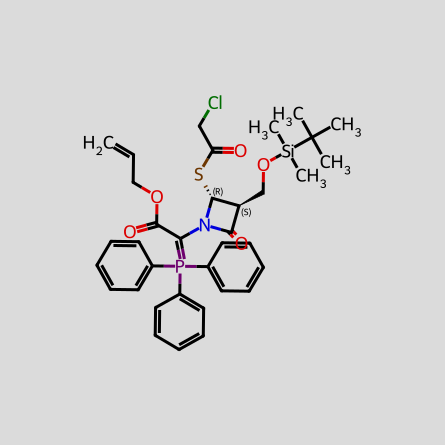 C=CCOC(=O)C(N1C(=O)[C@H](CO[Si](C)(C)C(C)(C)C)[C@H]1SC(=O)CCl)=P(c1ccccc1)(c1ccccc1)c1ccccc1